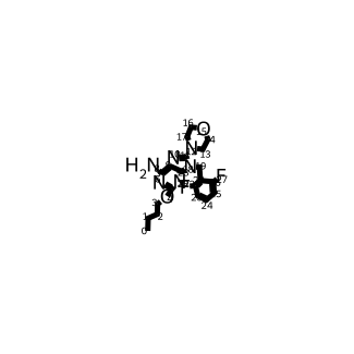 CCCCOc1nc(N)c2nc(N3CCOCC3)n(Cc3c(F)cccc3F)c2n1